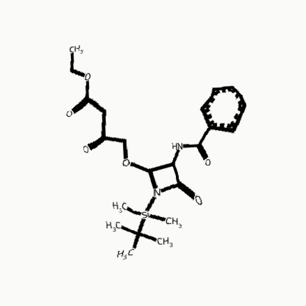 CCOC(=O)CC(=O)COC1C(NC(=O)c2ccccc2)C(=O)N1[Si](C)(C)C(C)(C)C